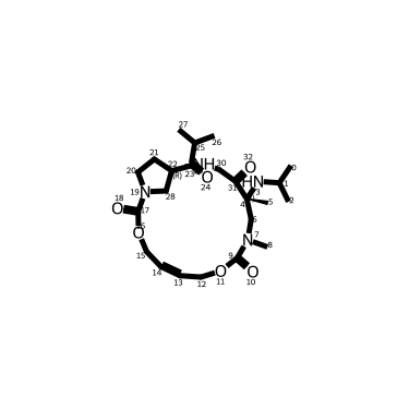 CC(C)N[C@]1(C)CN(C)C(=O)OCC=CCOC(=O)N2CC[C@](C(=O)C(C)C)(C2)NCC1=O